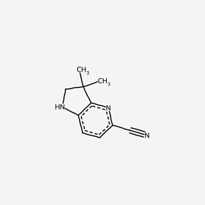 CC1(C)CNc2ccc(C#N)nc21